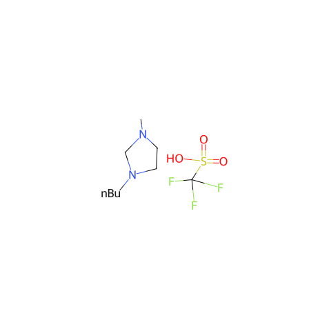 CCCCN1CCN(C)C1.O=S(=O)(O)C(F)(F)F